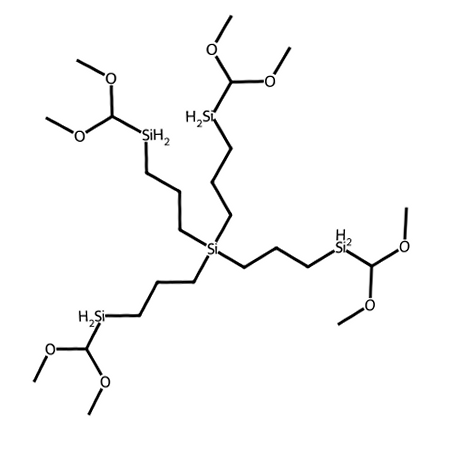 COC(OC)[SiH2]CCC[Si](CCC[SiH2]C(OC)OC)(CCC[SiH2]C(OC)OC)CCC[SiH2]C(OC)OC